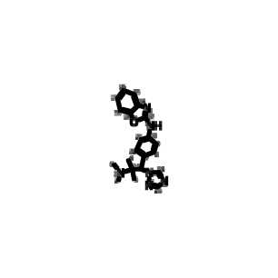 CN(C)C(C)(C)C(c1ccc(Nc2nc3ccccc3o2)cc1)n1cncn1